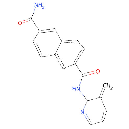 C=C1C=CC=NC1NC(=O)c1ccc2cc(C(N)=O)ccc2c1